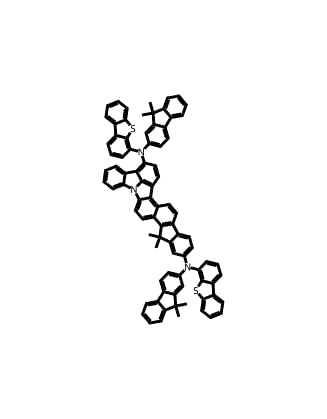 CC1(C)c2ccccc2-c2ccc(N(c3ccc4c(c3)C(C)(C)c3c-4ccc4c3ccc3c4c4ccc(N(c5ccc6c(c5)C(C)(C)c5ccccc5-6)c5cccc6c5sc5ccccc56)c5c6ccccc6n3c45)c3cccc4c3sc3ccccc34)cc21